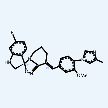 COc1cc(/C=C2\CCCN3C2=NO[C@@]32CNc3cc(F)ccc32)ccc1-n1cnc(C)c1